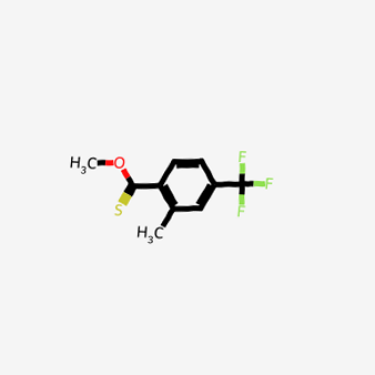 COC(=S)c1ccc(C(F)(F)F)cc1C